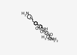 CC(N)(CN)C(=O)N1CCN(C(=O)Nc2ccn(-c3ccc(CCN4CCCC(N)CC4)cc3)c(=O)n2)CC1